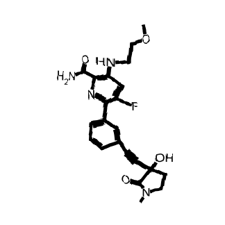 COCCNc1cc(F)c(-c2cccc(C#CC3(O)CCN(C)C3=O)c2)nc1C(N)=O